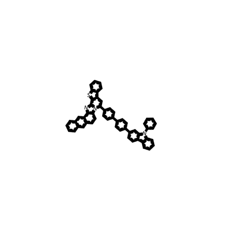 c1ccc(-n2c3ccccc3c3ccc(-c4ccc(-c5ccc(-c6cc7c8ccccc8sc7c7nc8c9cc%10ccccc%10cc9ccc8n67)cc5)cc4)cc32)cc1